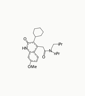 CCCN(CC(C)C)C(=O)Cc1c(C2CCCCC2)c(=O)[nH]c2cc(OC)ccc12